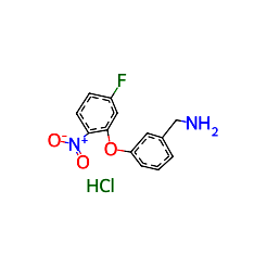 Cl.NCc1cccc(Oc2cc(F)ccc2[N+](=O)[O-])c1